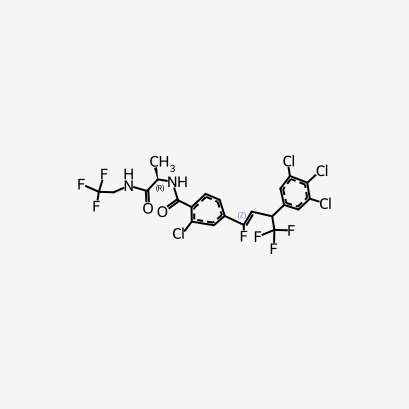 C[C@@H](NC(=O)c1ccc(/C(F)=C/C(c2cc(Cl)c(Cl)c(Cl)c2)C(F)(F)F)cc1Cl)C(=O)NCC(F)(F)F